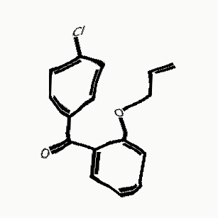 C=CCOc1ccccc1C(=O)c1ccc(Cl)cc1